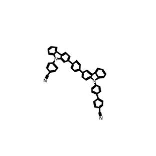 N#Cc1ccc(-c2ccc(-n3c4ccccc4c4cc(-c5ccc(-c6ccc7c8ccccc8n(-c8ccc(C#N)cc8)c7c6)cc5)ccc43)cc2)cc1